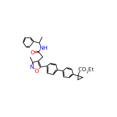 CCOC(=O)C1(c2ccc(-c3ccc(-c4onc(C)c4CC(=O)NC(C)c4ccccc4)cc3)cc2)CC1